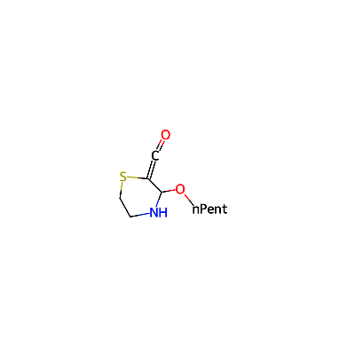 CCCCCOC1NCCSC1=C=O